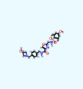 COc1cc(C)c(S(=O)(=O)N(C)Cc2nc(C(=O)N(C)Cc3ccc(CN4CC(OC)C4)cc3)co2)c(C)c1